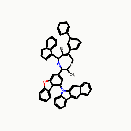 CC/C1=C(\c2cccc(-c3ccccc3)c2)CCC(C)C(c2cc(-n3c4ccccc4c4cc5ccccc5cc43)c3c(c2)oc2ccccc23)NC1c1cccc2ccccc12